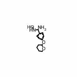 NC(NO)c1ccc(OC2CCCCO2)cc1